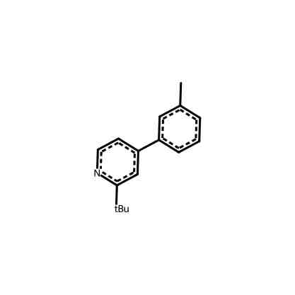 Cc1cccc(-c2ccnc(C(C)(C)C)c2)c1